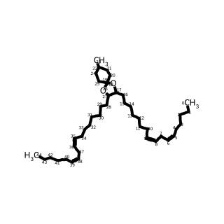 CCCCC/C=C\C/C=C\CCCCCCCC1OC2(CCC(C)CC2)OC1CCCCCCC/C=C\C/C=C\CCCCC